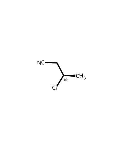 C[C@@H](Cl)CC#N